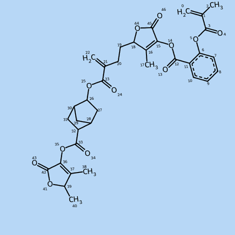 C=C(C)C(=O)Oc1ccccc1C(=O)OC1=C(C)C(CCC(=C)C(=O)OC2CC3CC2CC3C(=O)OC2=C(C)C(C)OC2=O)OC1=O